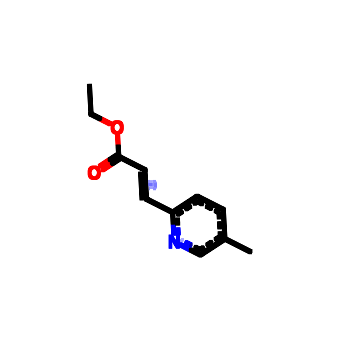 CCOC(=O)/C=C/c1ccc(C)cn1